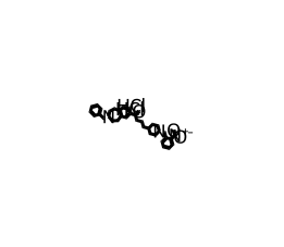 Cl.Cl.O=C(CCCC1CCN(Cc2ccccc2[N+](=O)[O-])CC1)c1ccc2c(c1)CCN(Cc1ccccc1)CC2